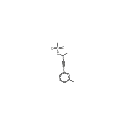 Cc1cccc(C#CC(C)OS(C)(=O)=O)n1